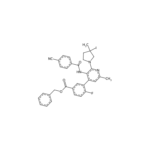 Cc1cc(-c2cc(C(=O)OCc3ccccc3)ccc2F)c(NC(=O)c2ccc(C#N)cc2)c(N2CCC(C)(I)C2)n1